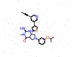 CC#Cc1cncc(-c2csc([C@]34CN(c5cccc(OC(C)C)c5)CC3C(=O)N(C)C(=N)N4)c2)c1